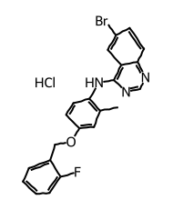 Cc1cc(OCc2ccccc2F)ccc1Nc1ncnc2ccc(Br)cc12.Cl